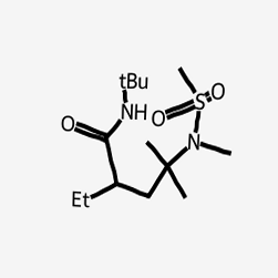 CCC(CC(C)(C)N(C)S(C)(=O)=O)C(=O)NC(C)(C)C